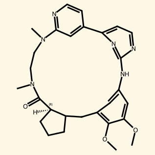 COc1cc2cc(c1OC)CC1CCC[C@H]1C(=O)N(C)CCN(C)c1cc(ccn1)-c1ccnc(n1)N2